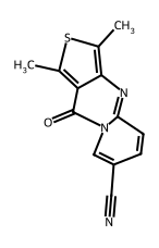 Cc1sc(C)c2c(=O)n3cc(C#N)ccc3nc12